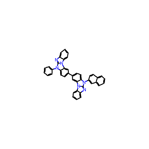 c1ccc(-n2c3ccc(-c4ccc5c(c4)n4c6ccccc6nc4n5-c4ccc5ccccc5c4)cc3n3c4ccccc4nc23)cc1